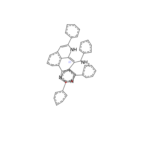 NC(/C(=C1\NC(c2ccccc2)=Cc2cccc(-c3cc(-c4ccccc4)nc(-c4ccccc4)n3)c21)c1ccccc1)c1ccccc1